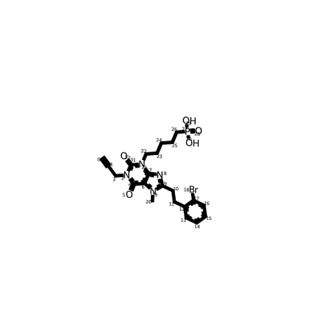 C#CCn1c(=O)c2c(nc(CCc3ccccc3Br)n2C)n(CCCCCP(=O)(O)O)c1=O